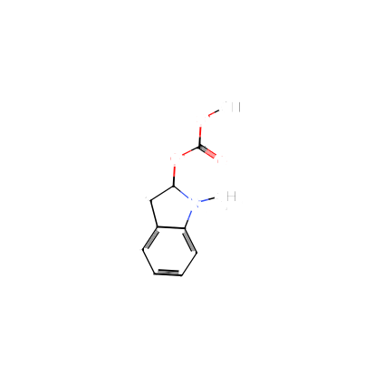 COC(=O)OC1Cc2ccccc2N1C